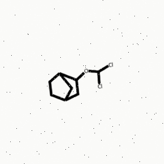 ClC(Cl)OC1CC2CCC1C2